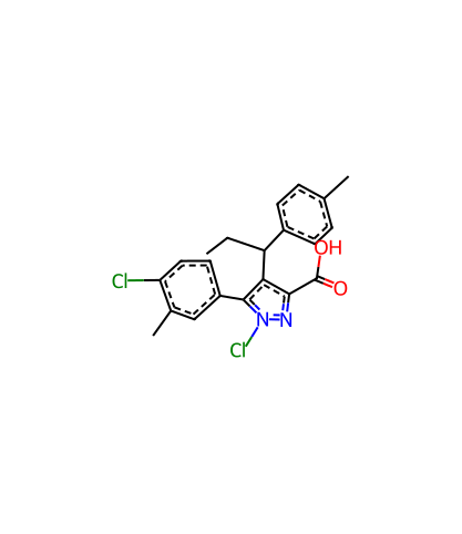 CCC(c1ccc(C)cc1)c1c(C(=O)O)nn(Cl)c1-c1ccc(Cl)c(C)c1